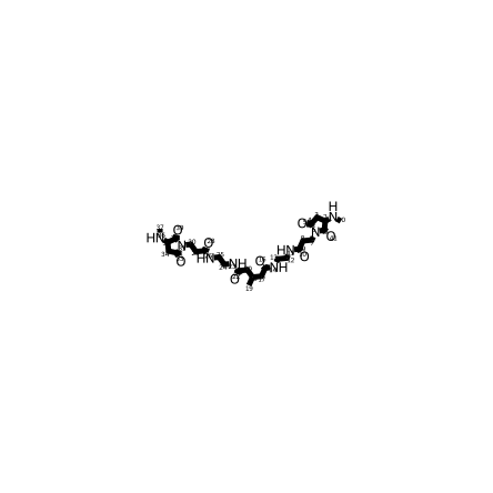 CNC1CC(=O)N(CCC(=O)NCCNC(=O)CC(C)CC(=O)NCCNC(=O)CCN2C(=O)CC(NC)C2=O)C1=O